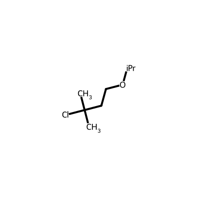 CC(C)OCCC(C)(C)Cl